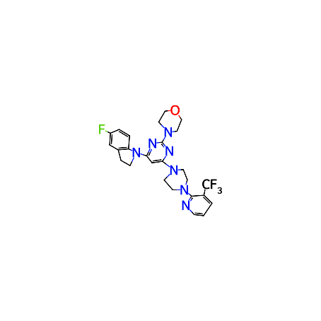 Fc1ccc2c(c1)CCN2c1cc(N2CCN(c3ncccc3C(F)(F)F)CC2)nc(N2CCOCC2)n1